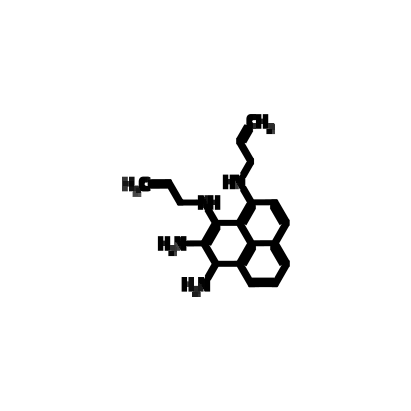 C=CCNC1=C(N)C(N)c2cccc3ccc(NCC=C)c1c23